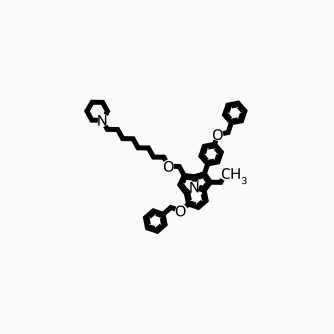 CCc1c(-c2ccc(OCc3ccccc3)cc2)c2c(COCCCCCCCCN3CCCCC3)cc3c(OCc4ccccc4)ccc1n32